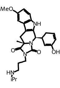 COc1ccc2[nH]c3c(c2c1)C[C@@]1(C)C(=O)N(CCCNC(C)C)C(=O)N1[C@@H]3C1C=C(O)C=CC1